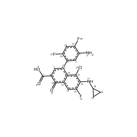 Nc1cc(-n2cc(C(=O)O)c(=O)c3cc(F)c(NC4CC4)c(Cl)c32)c(F)cc1F